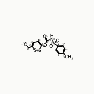 Cc1ccc(S(=O)(=O)NC(=O)OC2=CC=C(CO)SS2)cc1